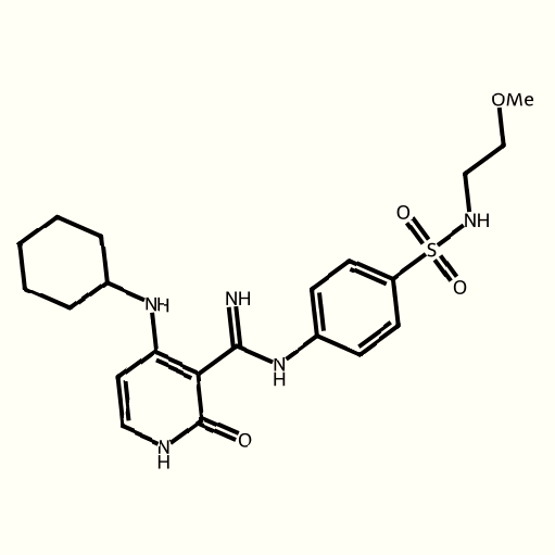 COCCNS(=O)(=O)c1ccc(NC(=N)c2c(NC3CCCCC3)cc[nH]c2=O)cc1